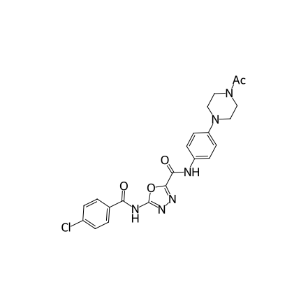 CC(=O)N1CCN(c2ccc(NC(=O)c3nnc(NC(=O)c4ccc(Cl)cc4)o3)cc2)CC1